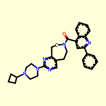 O=C(c1cc(-c2ccccc2)nc2ccccc12)N1CCc2cnc(N3CCN(C4CCC4)CC3)nc2CC1